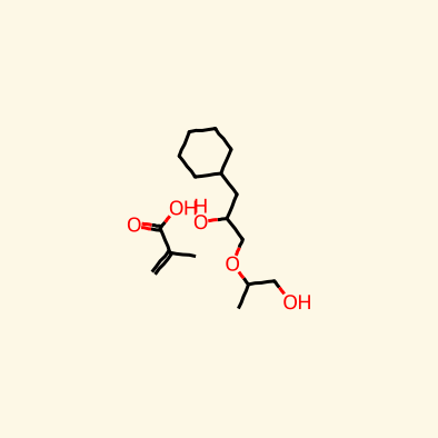 C=C(C)C(=O)O.CC(CO)OCC(O)CC1CCCCC1